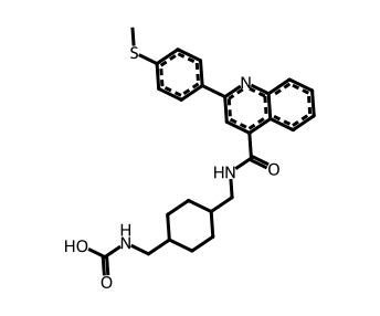 CSc1ccc(-c2cc(C(=O)NCC3CCC(CNC(=O)O)CC3)c3ccccc3n2)cc1